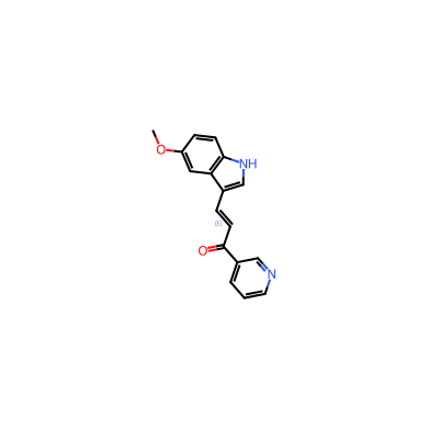 COc1ccc2[nH]cc(/C=C/C(=O)c3cccnc3)c2c1